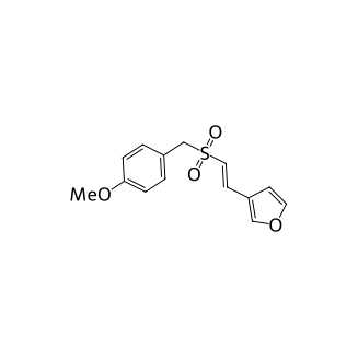 COc1ccc(CS(=O)(=O)C=Cc2ccoc2)cc1